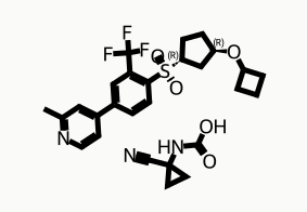 Cc1cc(-c2ccc(S(=O)(=O)[C@@H]3CC[C@@H](OC4CCC4)C3)c(C(F)(F)F)c2)ccn1.N#CC1(NC(=O)O)CC1